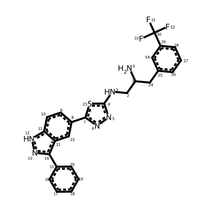 NC(CNc1nnc(-c2ccc3[nH]nc(-c4ccccc4)c3c2)s1)Cc1cccc(C(F)(F)F)c1